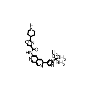 BC(B)(B)n1cc(-c2cc3cc(NC(=O)c4coc(C5CCNCC5)n4)ncc3cn2)cn1